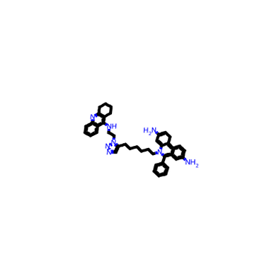 NC1=CCC2=c3ccc(N)cc3=C(c3ccccc3)N(CCCCCCc3cnnn3CCNc3c4c(nc5ccccc35)CCCC4)C2=C1